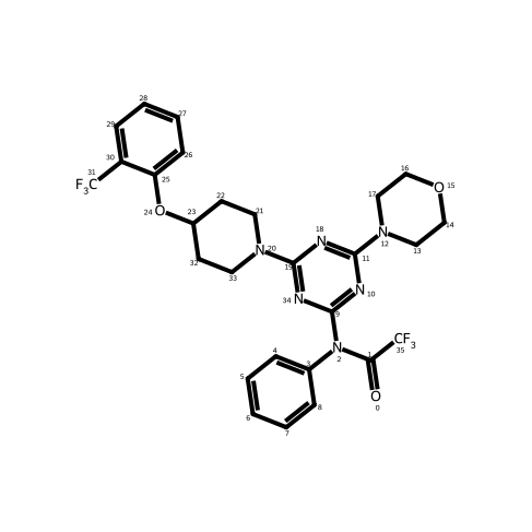 O=C(N(c1ccccc1)c1nc(N2CCOCC2)nc(N2CCC(Oc3ccccc3C(F)(F)F)CC2)n1)C(F)(F)F